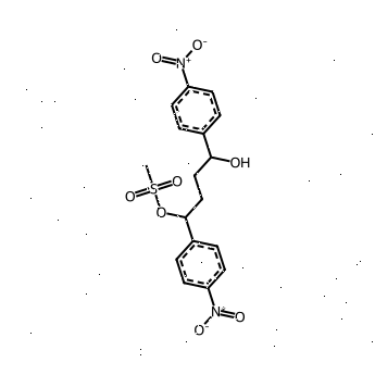 CS(=O)(=O)OC(CCC(O)c1ccc([N+](=O)[O-])cc1)c1ccc([N+](=O)[O-])cc1